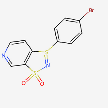 O=S1(=O)N=S(c2ccc(Br)cc2)c2ccncc21